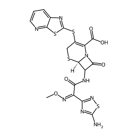 CO/N=C(\C(=O)NC1C(=O)N2C(C(=O)O)=C(Sc3nc4cccnc4s3)CS[C@H]12)c1nsc(N)n1